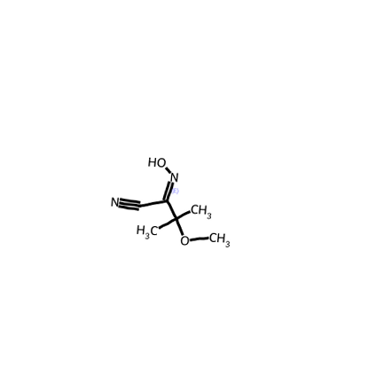 COC(C)(C)/C(C#N)=N/O